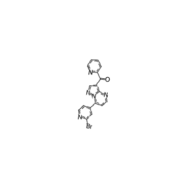 O=C(c1ccccn1)c1cnn2c(-c3ccnc(Br)c3)ccnc12